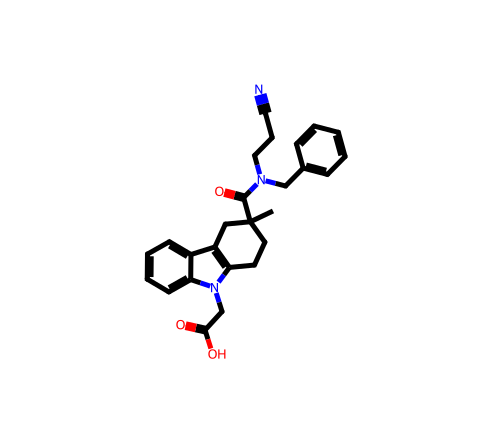 CC1(C(=O)N(CCC#N)Cc2ccccc2)CCc2c(c3ccccc3n2CC(=O)O)C1